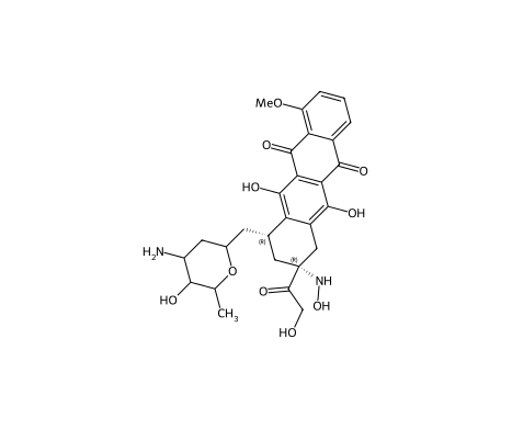 COc1cccc2c1C(=O)c1c(O)c3c(c(O)c1C2=O)C[C@@](NO)(C(=O)CO)C[C@@H]3CC1CC(N)C(O)C(C)O1